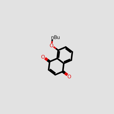 CCCCOc1cccc2c1C(=O)C=CC2=O